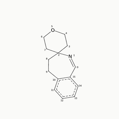 C1=NC2(CCOCC2)CCc2ccccc21